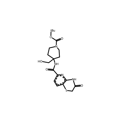 CC(C)(C)OC(=O)N1CCC(CO)(NC(=O)c2ccc3c(n2)NC(=O)CS3)CC1